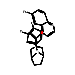 O=C(c1ccnc2ccc(Br)cc12)N1CC2CCC(C1)N2c1ccc(F)c(F)c1